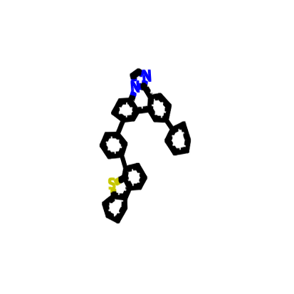 c1ccc(-c2ccc3c(c2)c2cc(-c4cccc(-c5cccc6c5sc5ccccc56)c4)ccc2n2ccnc32)cc1